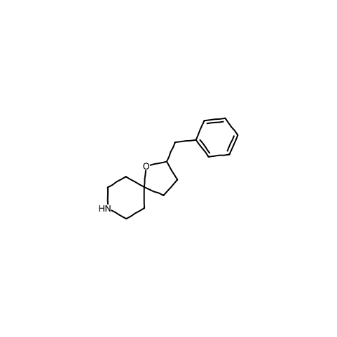 c1ccc(CC2CCC3(CCNCC3)O2)cc1